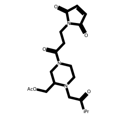 CC(=O)OCC1CN(C(=O)CCN2C(=O)C=CC2=O)CCN1CC(=O)C(C)C